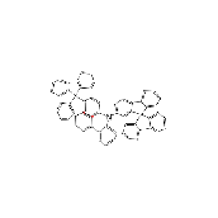 c1ccc(-c2ccccc2N(c2ccc3c(c2)-c2ccccc2C3(c2ccccc2)c2ccccc2)c2ccc3c(c2)C2(c4ccccc4-c4ccccc42)c2ccccc2-3)cc1